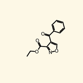 CCOC(=O)c1nocc1C(=O)c1ccccc1